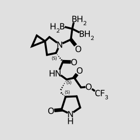 BC(B)(B)C(=O)N1CC2(CC2)C[C@H]1C(=O)N[C@@H](C[C@@H]1CCNC1=O)C(=O)COC(F)(F)F